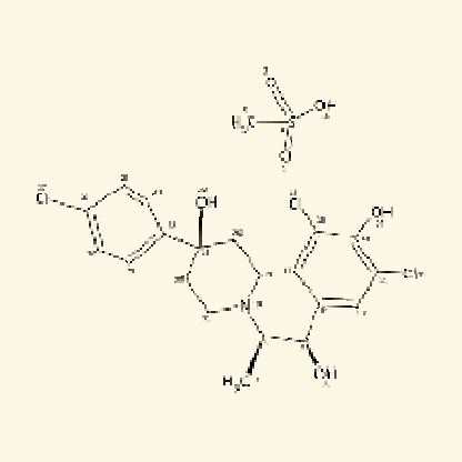 CS(=O)(=O)O.C[C@H]([C@H](O)c1cc(Cl)c(O)c(Cl)c1)N1CCC(O)(c2ccc(Cl)cc2)CC1